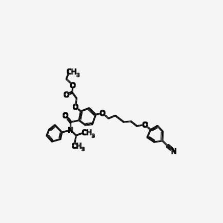 CCOC(=O)COc1cc(OCCCCCOc2ccc(C#N)cc2)ccc1C(=O)N(c1ccccc1)C(C)C